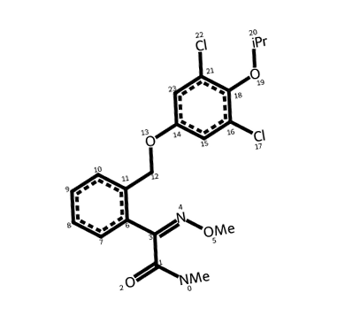 CNC(=O)C(=NOC)c1ccccc1COc1cc(Cl)c(OC(C)C)c(Cl)c1